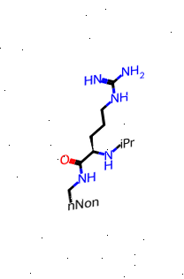 CCCCCCCCCCNC(=O)[C@@H](CCCNC(=N)N)NC(C)C